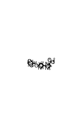 COC(=O)c1ccnc(-c2ccc(OCC3COCCO3)nc2)n1